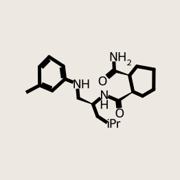 Cc1cccc(NC[C@H](CC(C)C)NC(=O)[C@@H]2CCCC[C@@H]2C(N)=O)c1